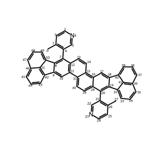 Cc1ccncc1-c1c2c(cc3c1ccc1c4cc5c(c(-c6cnccc6C)c4ccc31)-c1cccc3cccc-5c13)-c1cccc3cccc-2c13